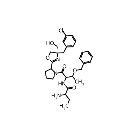 CCC(N)C(=O)NC(C(=O)N1CCCC1C1=N[C@](CO)(Cc2cccc(Cl)c2)CO1)C(C)OCc1ccccc1